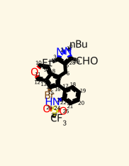 CCCCn1nc(CC)c(Cc2c3ccocc-3c(Br)c2-c2ccccc2NS(=O)(=O)C(F)(F)F)c1C=O